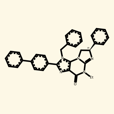 CCN1C(=O)c2nc(-c3ccc(-c4ccccc4)cc3)n(Cc3ccccc3)c2N2C[C@@H](c3ccccc3)N=C12